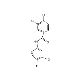 O=C(Nc1ccc(Cl)c(Cl)c1)c1ccc(Cl)[n+]([O-])c1